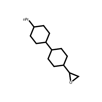 CCCC1CCC(C2CCC(C3CO3)CC2)CC1